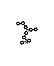 c1ccc(-c2ccc(N(c3ccc(-c4cccc(-c5ccccc5)c4)cc3)c3ccc(-c4cccc(-n5c(-c6ccccc6)nc6ccccc65)c4)cc3)cc2)cc1